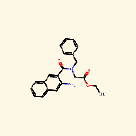 CCOC(=O)CN(Cc1ccccc1)C(=O)c1cc2ccccc2cc1N